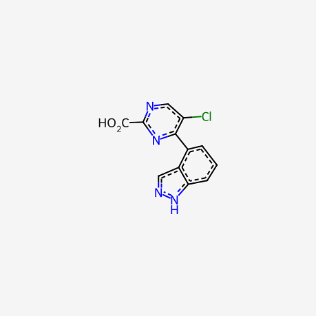 O=C(O)c1ncc(Cl)c(-c2cccc3[nH]ncc23)n1